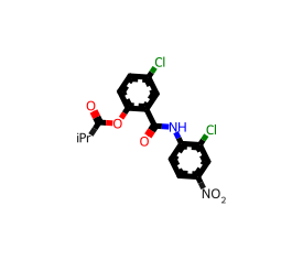 CC(C)C(=O)Oc1ccc(Cl)cc1C(=O)Nc1ccc([N+](=O)[O-])cc1Cl